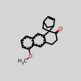 COc1cccc2cc3c(cc12)CCC(=O)C31CC2C=CC1C2